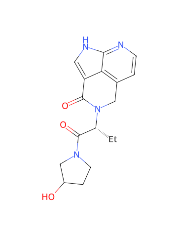 CC[C@H](C(=O)N1CCC(O)C1)N1Cc2ccnc3[nH]cc(c23)C1=O